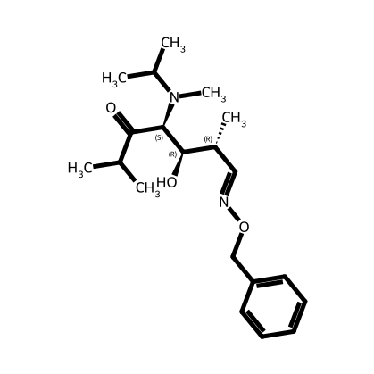 CC(C)C(=O)[C@H]([C@H](O)[C@H](C)C=NOCc1ccccc1)N(C)C(C)C